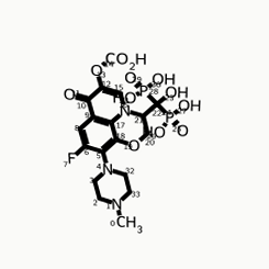 CN1CCN(c2c(F)cc3c(=O)c(OC(=O)O)cn4c3c2OCC4C(O)(P(=O)(O)O)P(=O)(O)O)CC1